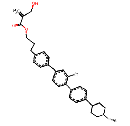 C=C(CO)C(=O)OCCCc1ccc(-c2ccc(-c3ccc(C4CCC(CCCCC)CC4)cc3)c(CC)c2)cc1